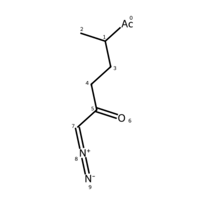 CC(=O)C(C)CCC(=O)C=[N+]=[N-]